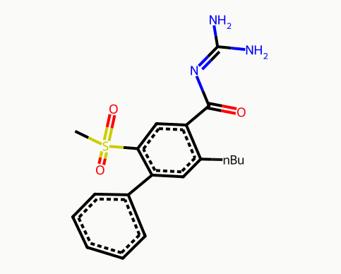 CCCCc1cc(-c2ccccc2)c(S(C)(=O)=O)cc1C(=O)N=C(N)N